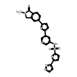 CN1Cc2cc(-c3ccc(-c4cncc(NS(=O)(=O)c5ccc(-c6ccno6)s5)c4)s3)ccc2C1=O